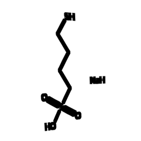 O=S(=O)(O)CCCCS.[NaH]